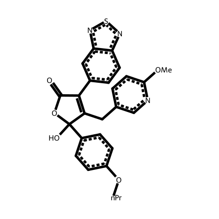 CCCOc1ccc(C2(O)OC(=O)C(c3ccc4nsnc4c3)=C2Cc2ccc(OC)nc2)cc1